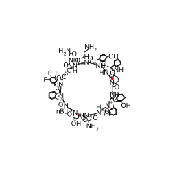 CCCC[C@H]1C(=O)N2C[C@H](O)C[C@@H]2C(=O)N[C@@H](CC(N)=O)C(=O)N[C@@H](C(C)C)C(=O)N(C)[C@@H](Cc2ccccc2)C(=O)N[C@@H](Cc2ccc(O)cc2)C(=O)N2CCCC[C@@H]2C(=O)N[C@@H](Cc2c[nH]c3ccccc23)C(=O)N[C@@H](Cc2ccc(O)cc2)C(=O)N[C@@H](CCCCN)C(=O)N[C@H](C(=O)NCC(N)=O)CSCC(=O)N[C@@H](Cc2cc(F)c(F)c(F)c2)C(=O)N(C)[C@@H](Cc2ccccc2)C(=O)N1C